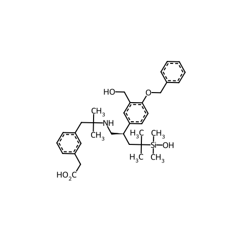 CC(C)(Cc1cccc(CC(=O)O)c1)NC[C@H](CC(C)(C)[Si](C)(C)O)c1ccc(OCc2ccccc2)c(CO)c1